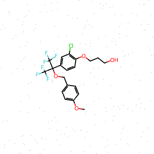 COc1ccc(COC(c2ccc(OCCCO)c(Cl)c2)(C(F)(F)F)C(F)(F)F)cc1